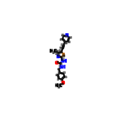 COc1ccc(CNC(=O)Nc2nc(C)c(C#Cc3ccncc3)s2)cc1